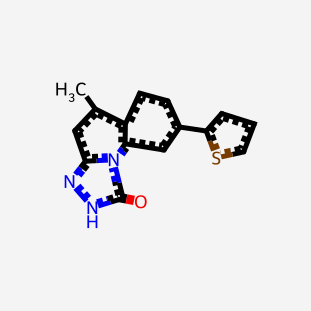 Cc1cc2n[nH]c(=O)n2c2cc(-c3cccs3)ccc12